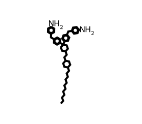 CCCCCCCCCCCCC1CCC(CCC2CCC(c3ccc(Cc4ccc(N)cc4)cc3)(c3ccc(Cc4ccc(N)cc4)cc3)CC2)CC1